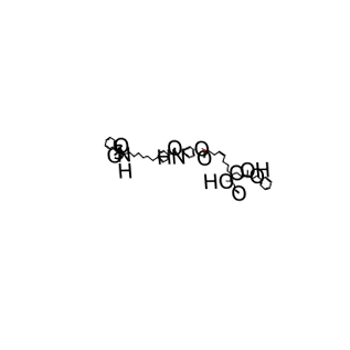 O=CC[C@@H](O)[C@@H](CCC/C=C\CCC(=O)Oc1ccc(NC(=O)c2ccc(CCCCCCNS(=O)(=O)c3ccccc3)cc2)cc1)OCC(O)COc1ccccc1